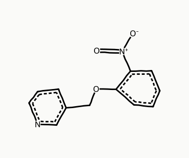 O=[N+]([O-])c1ccccc1OCc1cccnc1